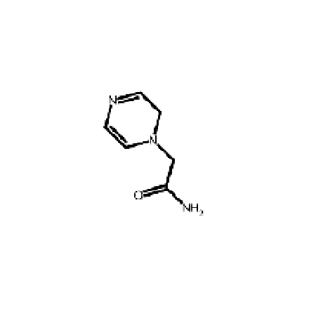 NC(=O)CN1C=CN=CC1